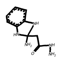 NNC(=O)CC1(N)Nc2ccccc2N1